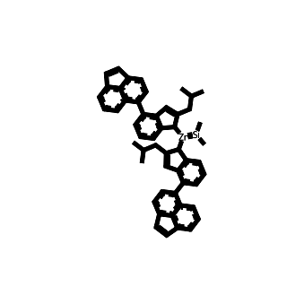 CC(C)CC1=Cc2c(-c3ccc4c5c(cccc35)C=C4)cccc2[CH]1[Zr]([CH]1C(CC(C)C)=Cc2c(-c3ccc4c5c(cccc35)C=C4)cccc21)=[Si](C)C